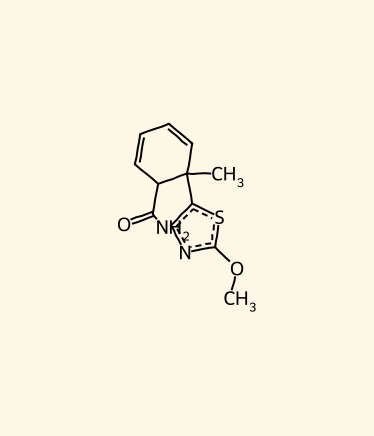 COc1ncc(C2(C)C=CC=CC2C(N)=O)s1